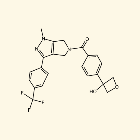 Cn1nc(-c2ccc(C(F)(F)F)cc2)c2c1CN(C(=O)c1ccc(C3(O)COC3)cc1)C2